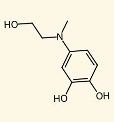 CN(CCO)c1ccc(O)c(O)c1